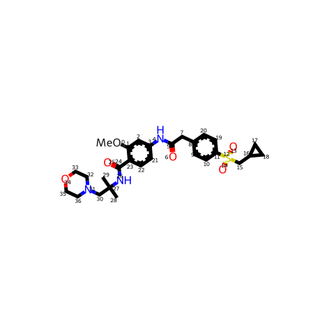 COc1cc(NC(=O)Cc2ccc(S(=O)(=O)CC3CC3)cc2)ccc1C(=O)NC(C)(C)CN1CCOCC1